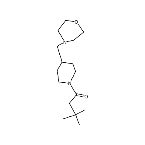 CC(C)(C)CC(=O)N1CCC(CN2CCOCC2)CC1